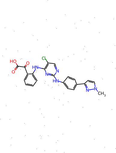 Cn1ccc(-c2ccc(Nc3ncc(Cl)c(Nc4ccccc4C(=O)C(=O)O)n3)cc2)n1